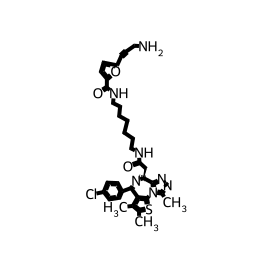 Cc1sc2c(c1C)C(c1ccc(Cl)cc1)=N[C@@H](CC(=O)NCCCCCCCNC(=O)c1ccc(C#CCN)o1)c1nnc(C)n1-2